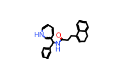 O=C(CCC1=CCCc2ccccc21)NC(C1=CNC=CC=C1)c1ccccc1